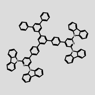 c1ccc(-c2cc(-c3ccccc3)cc(-c3cc(-c4ccc(-c5cc(-n6c7ccccc7c7ccccc76)nc(-n6c7ccccc7c7ccccc76)c5)cc4)cc(-c4ccc(-c5cc(-n6c7ccccc7c7ccccc76)nc(-n6c7ccccc7c7ccccc76)c5)cc4)c3)c2)cc1